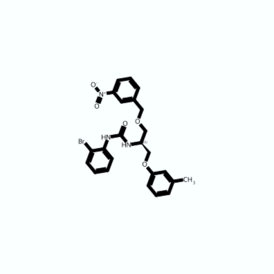 Cc1cccc(OC[C@H](COCc2cccc([N+](=O)[O-])c2)NC(=O)Nc2ccccc2Br)c1